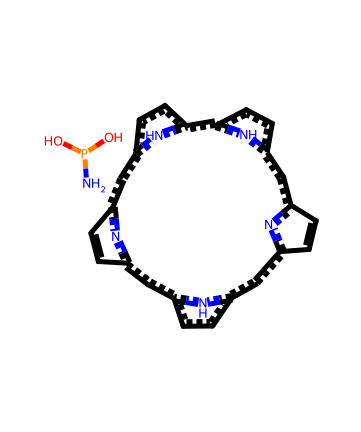 C1=Cc2cc3ccc([nH]3)c3ccc(cc4nc(cc5ccc(cc1n2)[nH]5)C=C4)[nH]3.NP(O)O